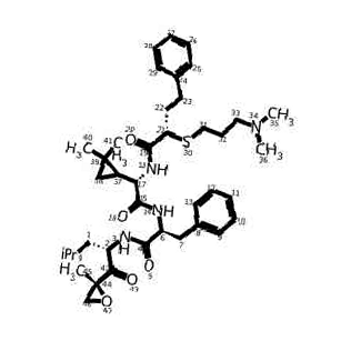 CC(C)C[C@H](NC(=O)[C@H](Cc1ccccc1)NC(=O)[C@@H](NC(=O)[C@H](CCc1ccccc1)SCCCN(C)C)C1CC1(C)C)C(=O)[C@@]1(C)CO1